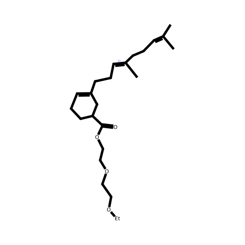 CCOCCOCCOC(=O)C1CCC=C(CC/C=C(\C)CCC=C(C)C)C1